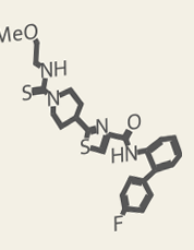 COCCNC(=S)N1CCC(c2nc(C(=O)Nc3ccccc3-c3ccc(F)cc3)cs2)CC1